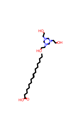 CCCCCCCCC=CCCCCCCCC(=O)O.OCCN1CN(CCO)CN(CCO)C1